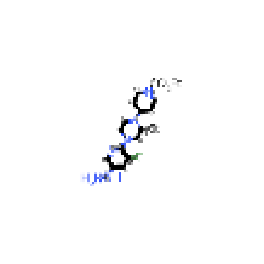 CCOC(=O)N1CCC(N2CCN(c3ncc(NN)cc3Cl)C[C@@H]2CC)CC1